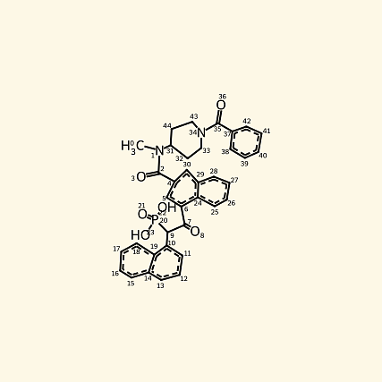 CN(C(=O)c1cc(C(=O)C(c2cccc3ccccc23)P(=O)(O)O)c2ccccc2c1)C1CCN(C(=O)c2ccccc2)CC1